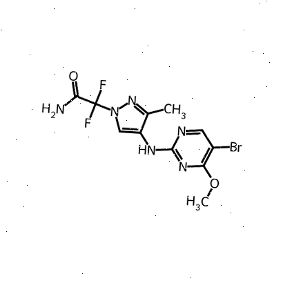 COc1nc(Nc2cn(C(F)(F)C(N)=O)nc2C)ncc1Br